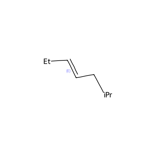 [CH2]C(C)C/C=C/CC